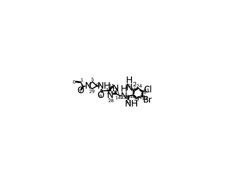 C=CC(=O)N1CC(NC(=O)c2cnc(CNC(=N)c3cc(Br)c(Cl)cc3N)n2C)C1